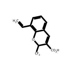 C=Cc1cccc2c1OC(C(F)(F)F)C(C(=O)O)=C2